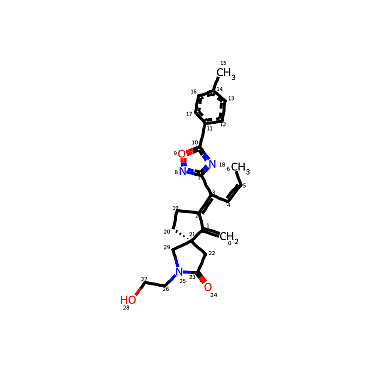 C=C1/C(=C(\C=C/C)c2noc(-c3ccc(C)cc3)n2)CC[C@@]12CC(=O)N(CCO)C2